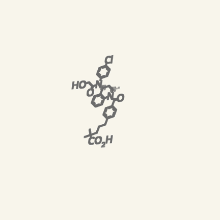 C[C@H]1C[C@@H](N(C(=O)CO)c2ccc(Cl)cc2)c2ccccc2N1C(=O)c1ccc(CCCC(C)(C)C(=O)O)cc1